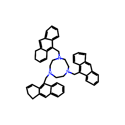 C1=Cc2c(cc3ccccc3c2CN2CCN(Cc3c4c(cc5ccccc35)CCC=C4)CCN(Cc3c4ccccc4cc4ccccc34)CC2)CC1